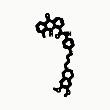 COc1cc2c(cc1OC)CN(CCCSc1ccc(NC(=O)c3cccc4c(=O)c5cccc(C)c5[nH]c34)cc1)CC2